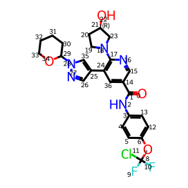 O=C(Nc1ccc(OC(F)(F)Cl)cc1)c1cnc(N2CC[C@@H](O)C2)c(-c2cnn(C3CCCCO3)c2)c1